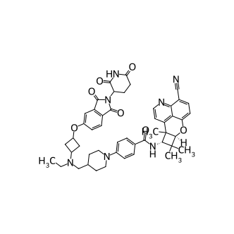 CCN(CC1CCN(c2ccc(C(=O)N[C@H]3C(C)(C)[C@@H]4Oc5ccc(C#N)c6nccc(c56)C34C)cc2)CC1)C1CC(Oc2ccc3c(c2)C(=O)N(C2CCC(=O)NC2=O)C3=O)C1